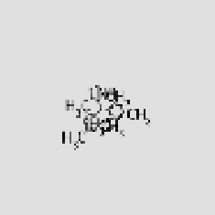 Cc1cc(C)c(C(c2c(C)cc(C)cc2C)[C@H]2CCCN2)c(C)c1